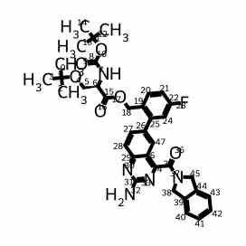 CC(C)(C)OC[C@@H](NC(=O)OC(C)(C)C)C(=O)OCc1ccc(F)cc1-c1ccc2nc(N)nc(C(=O)N3Cc4ccccc4C3)c2c1